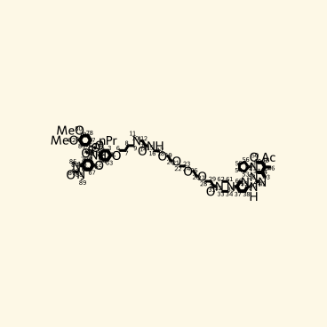 CCCOc1cc(OCCCCN(C)CC(=O)NCCOCCOCCOCCOCCC(=O)N2CCN(c3ccc(Nc4ncc5c(C)c(C(C)=O)c(=O)n(C6CCCC6)c5n4)nc3)CC2)cc(Oc2cc3c(cc2NS(=O)(=O)c2ccc(OC)c(OC)c2)n(C)c(=O)n3C)c1